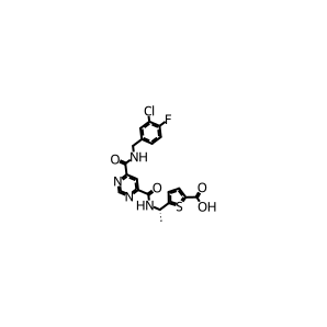 C[C@H](NC(=O)c1cc(C(=O)NCc2ccc(F)c(Cl)c2)ncn1)c1ccc(C(=O)O)s1